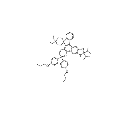 CCCOc1ccc(C2(c3ccc(OCCC)cc3)C=Cc3c4c(c5cc6c(cc5c3O2)SC(C(C)C)(C(C)C)O6)-c2ccccc2C42CCC(CC)(CC)CC2)cc1